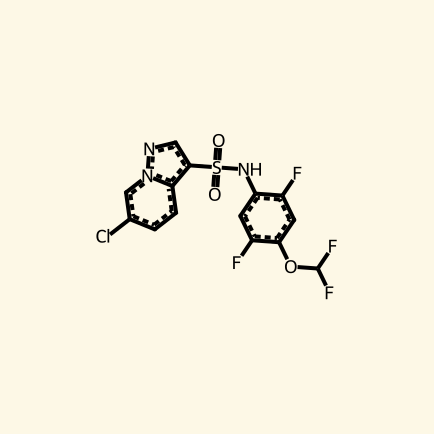 O=S(=O)(Nc1cc(F)c(OC(F)F)cc1F)c1cnn2cc(Cl)ccc12